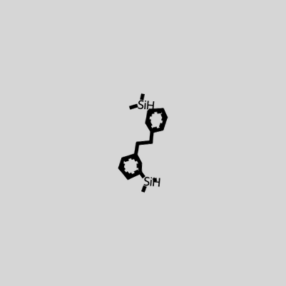 C[SiH](C)c1cccc(CCc2cccc([SiH](C)C)c2)c1